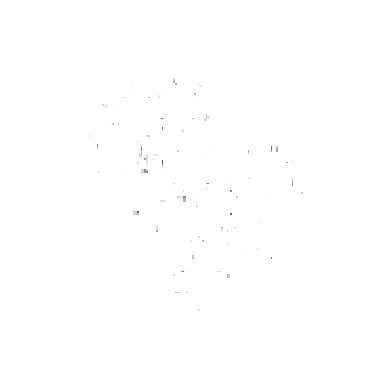 c1ccc(-n2c3ccccc3c3ccc4c5ccccc5n(-c5cccc(-c6cccc7ccc8cccnc8c67)c5)c4c32)cc1